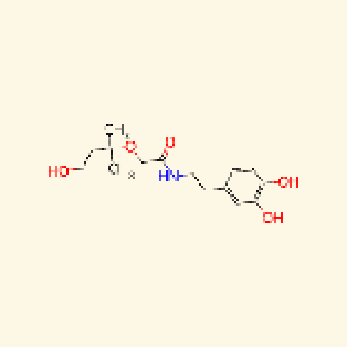 CC(C)(CCO)OCC(=O)NCCc1ccc(O)c(O)c1